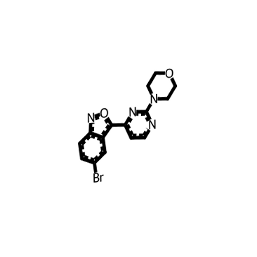 Brc1ccc2noc(-c3ccnc(N4CCOCC4)n3)c2c1